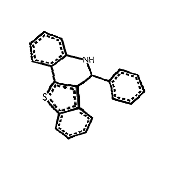 c1ccc(C2Nc3ccccc3-c3sc4ccccc4c32)cc1